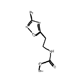 CC(C)c1noc(CCNC(=O)OC(C)(C)C)n1